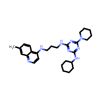 Cc1ccc2c(NCCCNc3nc(NC4CCCCC4)nc(N4CCCCC4)n3)ccnc2c1